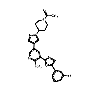 CC(=O)N1CCC(n2cc(-c3cnc(N)c(-c4ncc(-c5cccc(Cl)c5)o4)c3)cn2)CC1